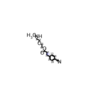 CNCCOCCOC(=O)/C=C/c1ccc(C#N)cc1